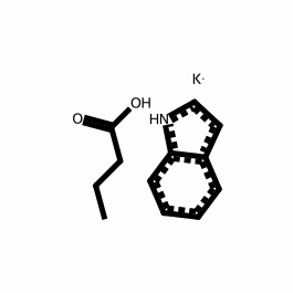 CCCC(=O)O.[K].c1ccc2[nH]ccc2c1